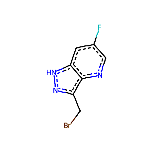 Fc1cnc2c(CBr)n[nH]c2c1